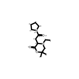 CCN1CC(C)(C)OC(=O)C1CC(=O)N1CCCC1